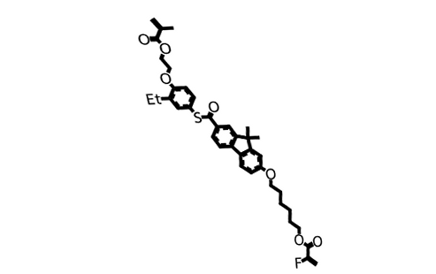 C=C(C)C(=O)OCCOc1ccc(SC(=O)c2ccc3c(c2)C(C)(C)c2cc(OCCCCCCOC(=O)C(=C)F)ccc2-3)cc1CC